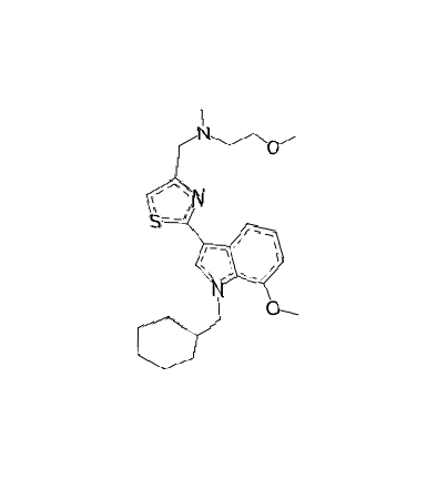 COCCN(C)Cc1csc(-c2cn(CC3CCCCC3)c3c(OC)cccc23)n1